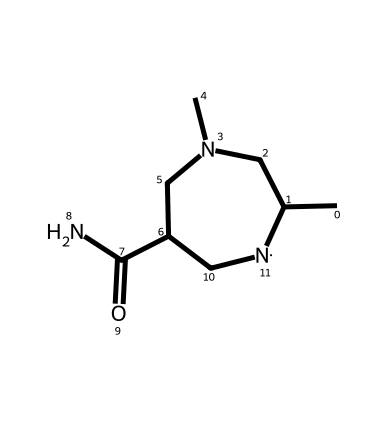 CC1CN(C)CC(C(N)=O)C[N]1